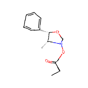 CCC(=O)ON1CO[C@@H](c2ccccc2)[C@H]1C